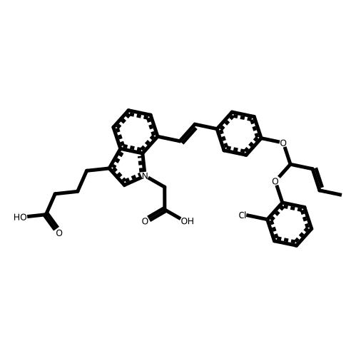 CC=CC(Oc1ccc(C=Cc2cccc3c(CCCC(=O)O)cn(CC(=O)O)c23)cc1)Oc1ccccc1Cl